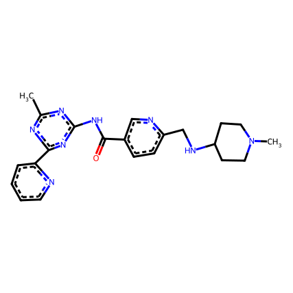 Cc1nc(NC(=O)c2ccc(CNC3CCN(C)CC3)nc2)nc(-c2ccccn2)n1